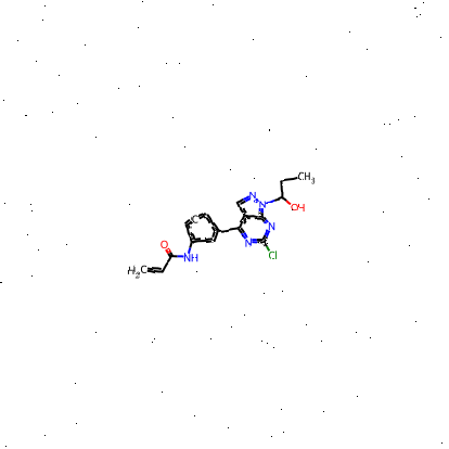 C=CC(=O)Nc1cccc(-c2nc(Cl)nc3c2cnn3C(O)CC)c1